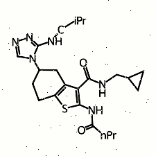 CCCC(=O)Nc1sc2c(c1C(=O)NCC1CC1)CC(n1cnnc1NCC(C)C)CC2